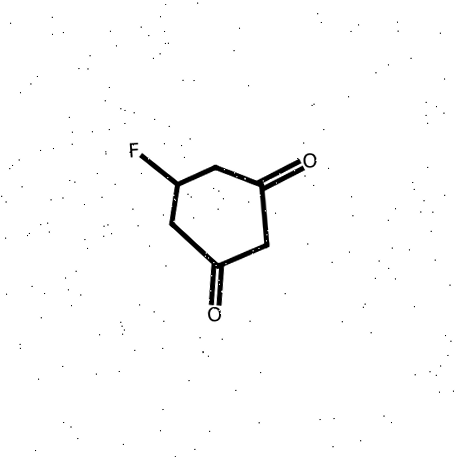 O=C1CC(=O)CC(F)C1